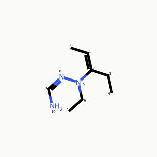 C/C=C(/CC)N(CC)/N=C\N